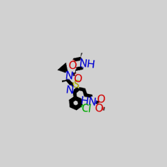 COC(=O)NCCCc1sc([C@@H](C)N(C(=O)[C@H]2CN[C@@H](C)CO2)C2CC2)nc1-c1cccc(Cl)c1